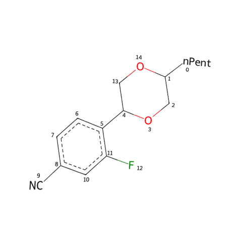 CCCCCC1COC(c2ccc(C#N)cc2F)CO1